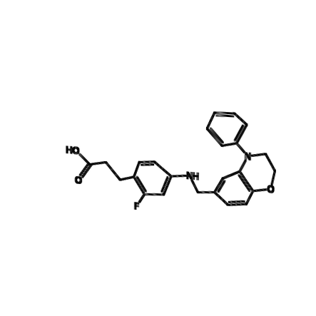 O=C(O)CCc1ccc(NCc2ccc3c(c2)N(c2ccccc2)CCO3)cc1F